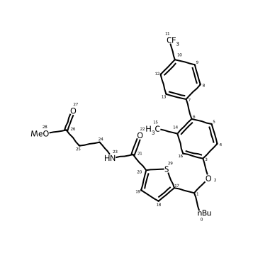 CCCCC(Oc1ccc(-c2ccc(C(F)(F)F)cc2)c(C)c1)c1ccc(C(=O)NCCC(=O)OC)s1